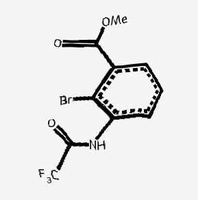 COC(=O)c1cccc(NC(=O)C(F)(F)F)c1Br